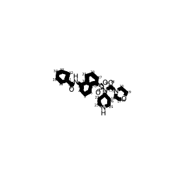 O=C(Nc1cccc2c(S(=O)(=O)N(C(=O)N3CCOCC3)C3CCNCC3)cccc12)c1ccccc1